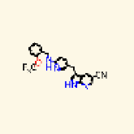 N#Cc1cnc2[nH]cc(Cc3ccc(NCc4ccccc4OC(F)(F)F)nc3)c2c1